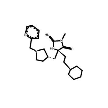 CN1C(=N)N[C@@](CCC2CCCCC2)(C[C@@H]2CCN(Cc3ccccn3)C2)C1=O